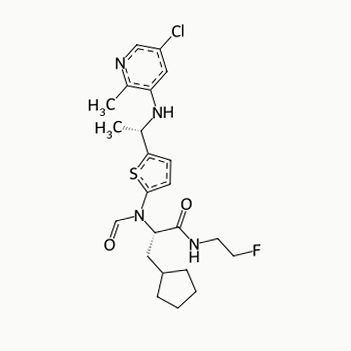 Cc1ncc(Cl)cc1N[C@@H](C)c1ccc(N(C=O)[C@@H](CC2CCCC2)C(=O)NCCF)s1